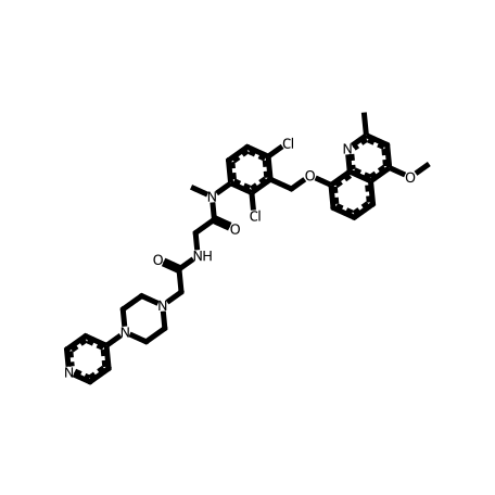 COc1cc(C)nc2c(OCc3c(Cl)ccc(N(C)C(=O)CNC(=O)CN4CCN(c5ccncc5)CC4)c3Cl)cccc12